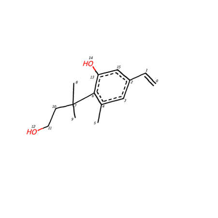 C=Cc1cc(C)c(C(C)(C)CCO)c(O)c1